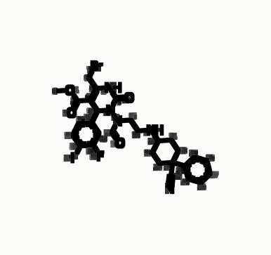 COC(=O)C1=C(CBr)NC(=O)N(N(C=O)CCNC2CCC(C#N)(c3ccccc3)CC2)C1c1ccc(F)c(F)c1